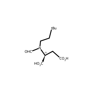 CC(C)(C)CCN(C=O)[C@@H](CC(=O)O)C(=O)O